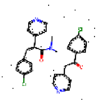 CN(C)C(=O)C(=Cc1ccc(Cl)cc1)c1ccncc1.O=C(Cc1ccncc1)c1ccc(Cl)cc1